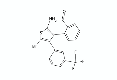 Nc1sc(Br)c(-c2cccc(C(F)(F)F)c2)c1-c1ccccc1C=O